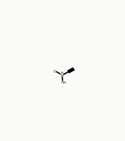 C#[C][SnH]([OH])[Cl]